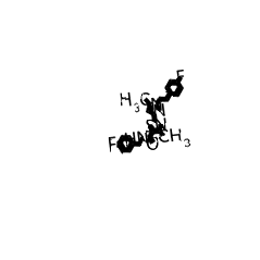 Cc1nc(-c2cc(C)n(CCc3ccc(F)cc3)n2)sc1C(=O)NCc1ccc(F)cc1